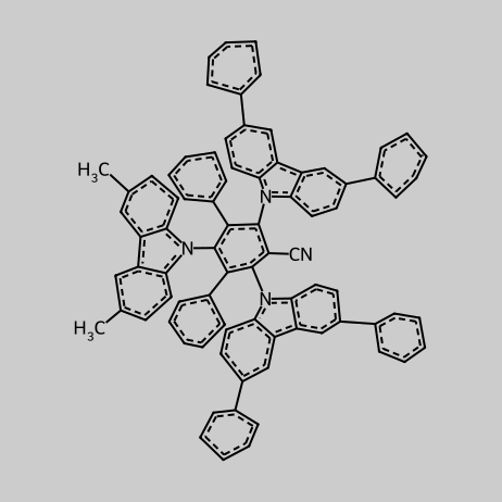 Cc1ccc2c(c1)c1cc(C)ccc1n2-c1c(-c2ccccc2)c(-n2c3ccc(-c4ccccc4)cc3c3cc(-c4ccccc4)ccc32)c(C#N)c(-n2c3ccc(-c4ccccc4)cc3c3cc(-c4ccccc4)ccc32)c1-c1ccccc1